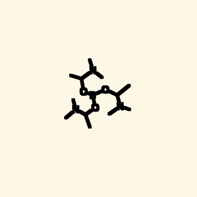 CC(OB(OC(C)N(C)C)OC(C)N(C)C)N(C)C